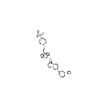 FC(F)(F)c1ccc(C=Cc2nc(Cn3ccc4cc(-c5cccc(Cl)c5)ccc43)co2)cc1